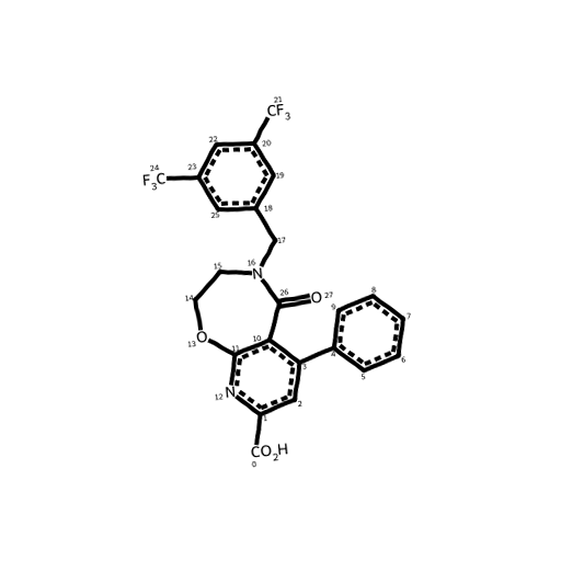 O=C(O)c1cc(-c2ccccc2)c2c(n1)OCCN(Cc1cc(C(F)(F)F)cc(C(F)(F)F)c1)C2=O